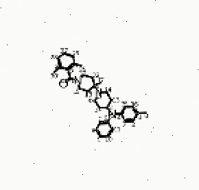 Cc1ccc(N(c2ccccc2)C2CCN(C3(C)CCN(C(=O)c4c(C)cccc4C)CC3)CC2)cc1